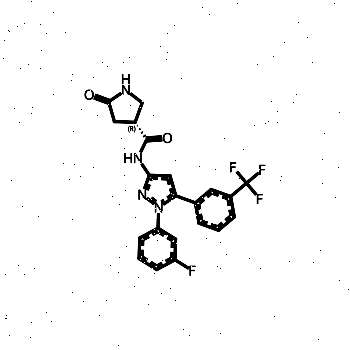 O=C1C[C@@H](C(=O)Nc2cc(-c3cccc(C(F)(F)F)c3)n(-c3cccc(F)c3)n2)CN1